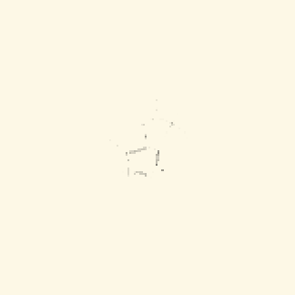 CN(Cc1cnc(Cl)nc1Cl)C(C)(C)C